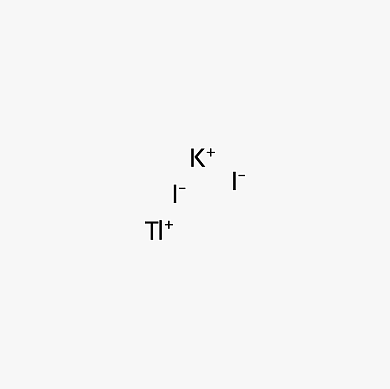 [I-].[I-].[K+].[Tl+]